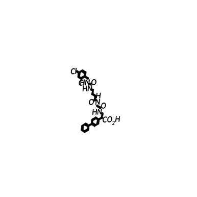 O=C(CCCNC(=O)NCc1ccc(Cl)cc1Cl)NCC(=O)NCC(C(=O)O)c1ccc(-c2ccccc2)cc1